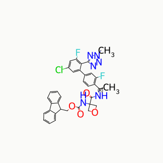 C[C@@H](NC(=O)C1(NC(=O)OCC2c3ccccc3-c3ccccc32)COC1)c1ccc(-c2cc(Cl)cc(F)c2-c2nnn(C)n2)cc1F